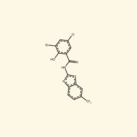 CCc1cc(Cl)cc(C(=O)Nc2nc3ccc(C(F)(F)F)cc3s2)c1O